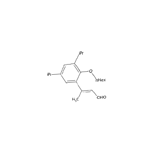 CCCCCCOc1c(C(C)=CC=O)cc(C(C)C)cc1C(C)C